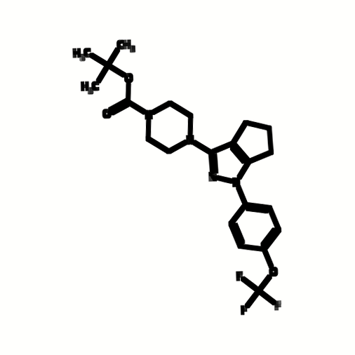 CC(C)(C)OC(=O)N1CCN(c2nn(-c3ccc(OC(F)(F)F)cc3)c3c2CCC3)CC1